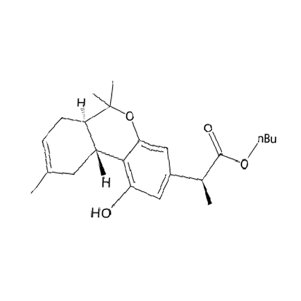 CCCCOC(=O)[C@@H](C)c1cc(O)c2c(c1)OC(C)(C)[C@@H]1CC=C(C)C[C@@H]21